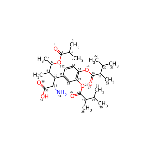 CC(C)C(=O)OC(C)C(C)C(c1ccc(OC(=O)C(C)C(C)C)c(OC(=O)C(C)C(C)C)c1)[C@H](N)C(=O)O